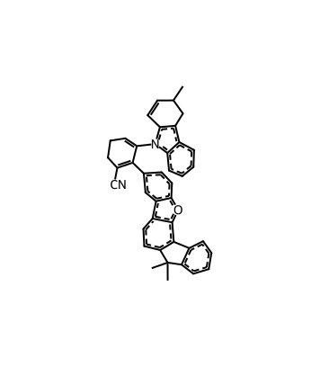 CC1C=Cc2c(c3ccccc3n2C2=CCCC(C#N)=C2c2ccc3oc4c5c(ccc4c3c2)C(C)(C)c2ccccc2-5)C1